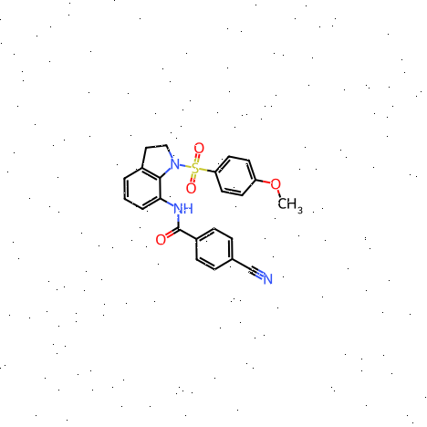 COc1ccc(S(=O)(=O)N2CCc3cccc(NC(=O)c4ccc(C#N)cc4)c32)cc1